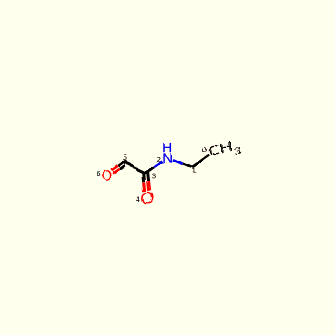 CCNC(=O)C=O